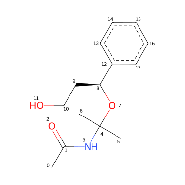 CC(=O)NC(C)(C)O[C@@H](CCO)c1ccccc1